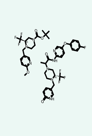 CC(C(=O)Nc1ccc(Oc2ccc(F)cc2)cn1)N1CCN(Cc2ccc(=O)[nH]c2)[C@@H](C(F)(F)F)C1.COc1ccc(CN2CCN(C(=O)OC(C)(C)C)C[C@@H]2C(F)(F)F)cn1